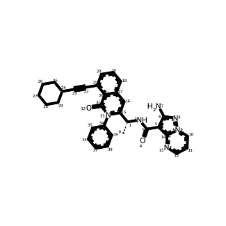 C[C@@H](NC(=O)c1c(N)nn2cccnc12)c1cc2cccc(C#CC3CCCCC3)c2c(=O)n1-c1ccccc1